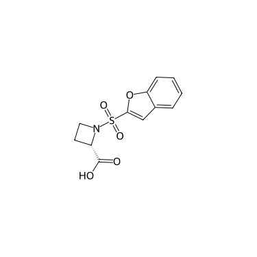 O=C(O)[C@@H]1CCN1S(=O)(=O)c1cc2ccccc2o1